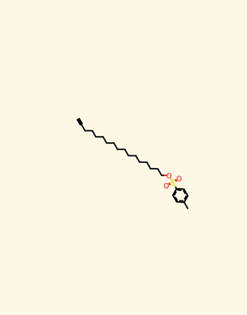 C#CCCCCCCCCCCCCCCCOS(=O)(=O)c1ccc(C)cc1